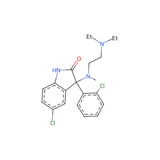 CCN(CC)CCN(C)C1(c2ccccc2Cl)C(=O)Nc2ccc(Cl)cc21